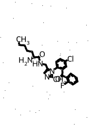 CCCCC[C@H](N)C(=O)NCc1cnc(C)n1-c1ccc(Cl)cc1C(=O)c1ccccc1F